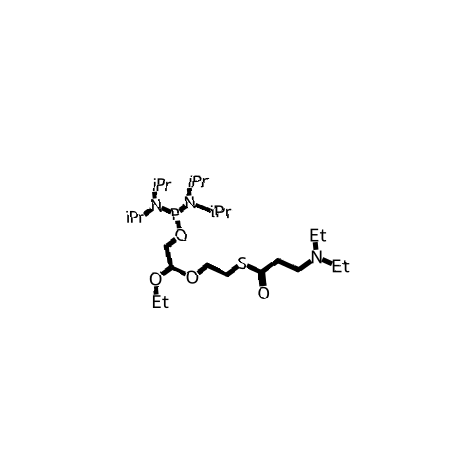 CCOC(COP(N(C(C)C)C(C)C)N(C(C)C)C(C)C)OCCSC(=O)CCN(CC)CC